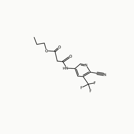 CCCOC(=O)CC(=O)Nc1cnc(C#N)c(C(F)(F)F)c1